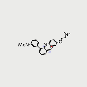 C=N/C=C1/C=CC=C(c2cccc(NC)c2)/C1=N/c1ccc(OCCN(C)C)cc1